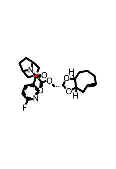 O=C(OC[C@H]1O[C@H]2C/C=C/CCC[C@H]2O1)N1CC2CCC(C1)N2C(=O)c1ccc(F)nc1